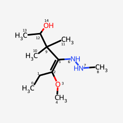 CC/C(OC)=C(/NNC)C(C)(C)C(C)O